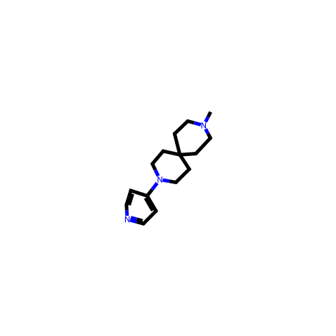 CN1CCC2(CC1)CCN(c1ccncc1)CC2